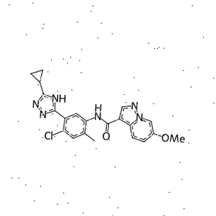 COc1ccc2c(C(=O)Nc3cc(-c4nnc(C5CC5)[nH]4)c(Cl)cc3C)cnn2c1